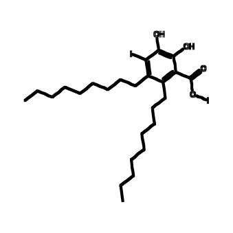 CCCCCCCCCc1c(I)c(O)c(O)c(C(=O)OI)c1CCCCCCCCC